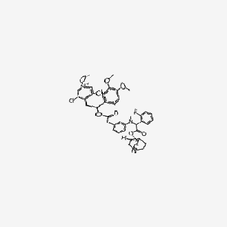 COc1ccc([C@H](Cc2c(Cl)c[n+]([O-])cc2Cl)OC(=O)Cc2cccc(N(C)C(C(=O)O[C@H]3CN4CCC3CC4)c3ccccc3F)c2)cc1OC